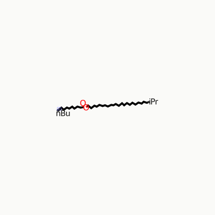 CCCC/C=C\CCCCCCCC(=O)OCCCCCCCCCCCCCCCCCCCCCCC(C)C